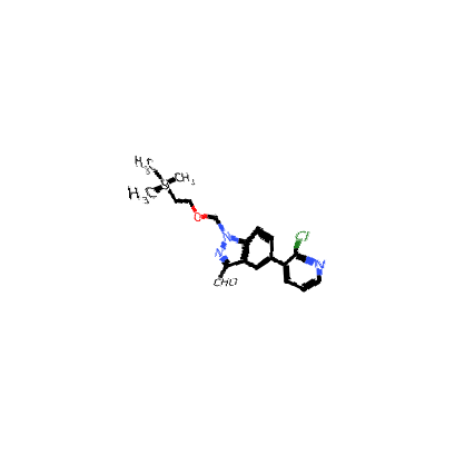 C[Si](C)(C)CCOCn1nc(C=O)c2cc(-c3cccnc3Cl)ccc21